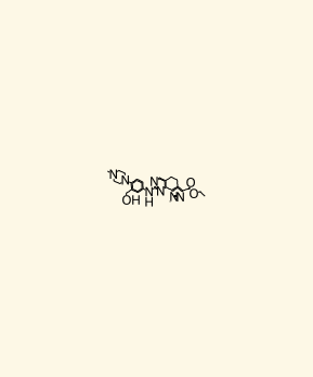 CCOC(=O)c1nn(C)c2c1CCc1cnc(Nc3ccc(N4CCN(C)CC4)c(CO)c3)nc1-2